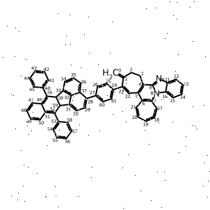 C=C1CCc2c(c3c(n4c2nc2ccccc24)C=C=CC=C3)C=C1c1ccc(-c2ccc3c4c(cccc24)C2C(c4ccccc4)=c4ccccc4=C(c4ccccc4)C32)cc1